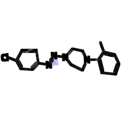 Cc1ccccc1N1CCN(/N=N/c2ccc(Cl)cc2)CC1